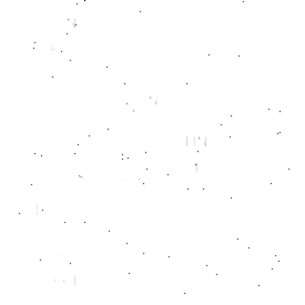 CC(C)c1c(C(=O)NC2CCCCC2)nn(-c2ccc(F)cc2)c1C=C[C@H](O)C[C@@H](O)CC(=O)O.[NaH]